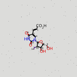 O=C(O)C=Cc1cn([C@@H]2O[C@H](CO)[C@@H](O)[C@H]2I)c(=O)[nH]c1=O